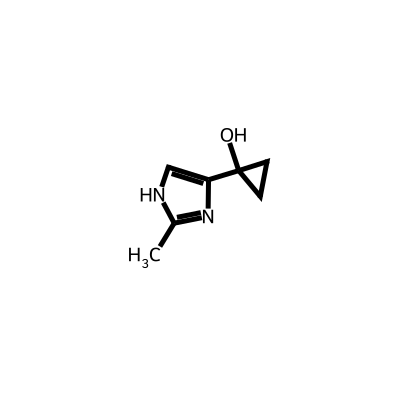 Cc1nc(C2(O)CC2)c[nH]1